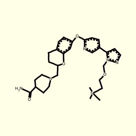 C[Si](C)(C)CCOCn1nccc1-c1ccc(Oc2ccc3c(c2)OC(CN2CCC(C(N)=O)CC2)CC3)nc1